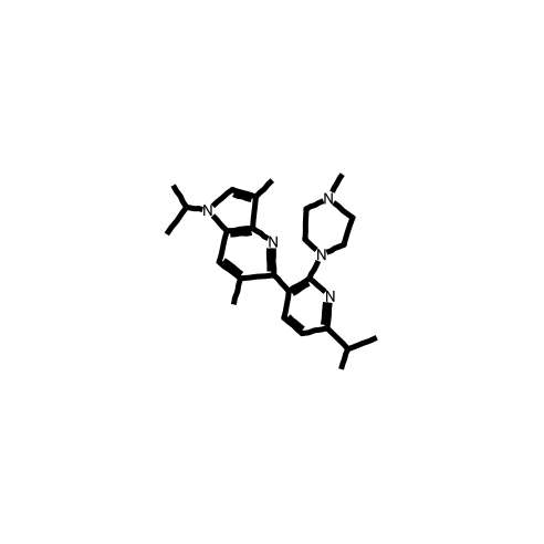 Cc1cc2c(nc1-c1ccc(C(C)C)nc1N1CCN(C)CC1)c(C)cn2C(C)C